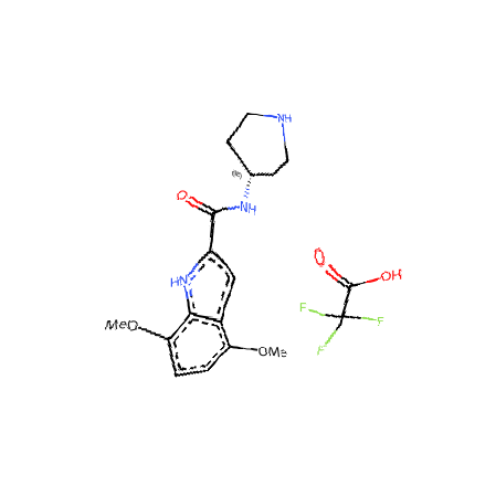 COc1ccc(OC)c2[nH]c(C(=O)N[C@@H]3CCNC3)cc12.O=C(O)C(F)(F)F